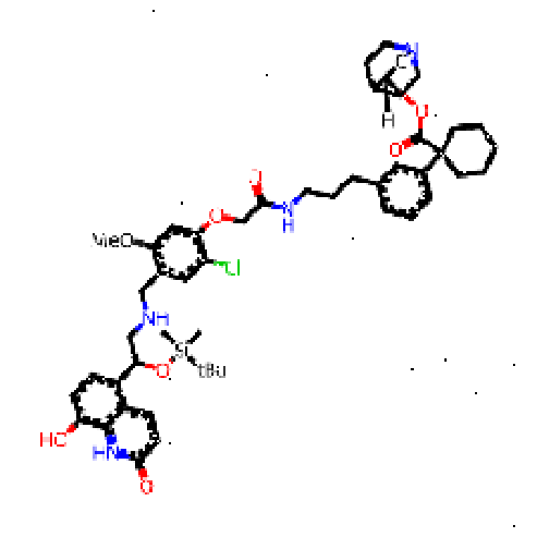 COc1cc(OCC(=O)NCCCc2cccc(C3(C(=O)O[C@H]4CN5CCC4CC5)CCCCC3)c2)c(Cl)cc1CNCC(O[Si](C)(C)C(C)(C)C)c1ccc(O)c2[nH]c(=O)ccc12